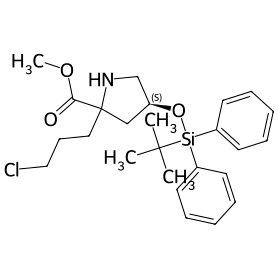 COC(=O)C1(CCCCl)C[C@H](O[Si](c2ccccc2)(c2ccccc2)C(C)(C)C)CN1